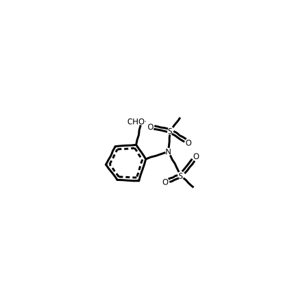 CS(=O)(=O)N(c1ccccc1[C]=O)S(C)(=O)=O